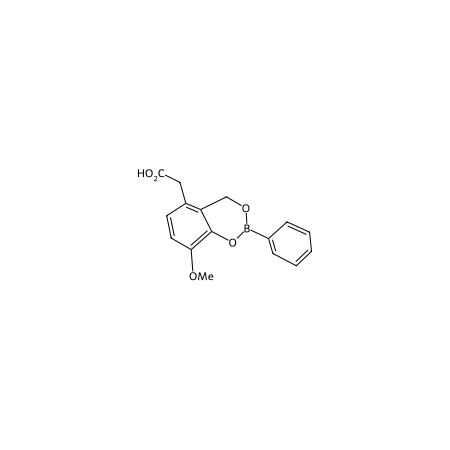 COc1ccc(CC(=O)O)c2c1OB(c1ccccc1)OC2